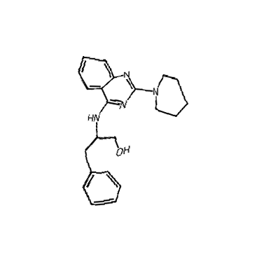 OCC(Cc1ccccc1)Nc1nc(N2CCCCC2)nc2ccccc12